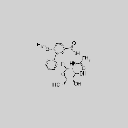 COc1ccc(C(=O)O)cc1-c1ccccc1O[C@@H]1O[C@H](CO)[C@H](O)[C@H](O)[C@H]1NC(C)=O